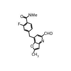 CNC(=O)c1ccc(Cc2cc(C=O)nc3cc(C)oc23)cc1F